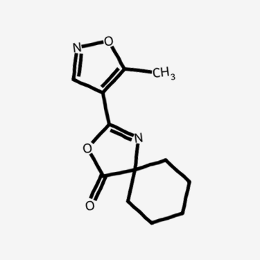 Cc1oncc1C1=NC2(CCCCC2)C(=O)O1